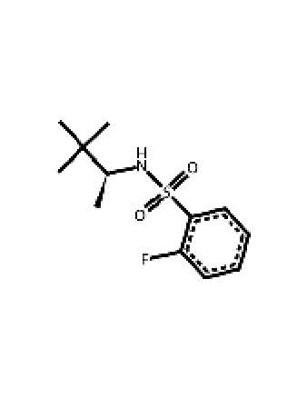 C[C@H](NS(=O)(=O)c1ccccc1F)C(C)(C)C